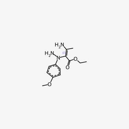 CCOC(=O)/C(=C(\C)N)N(N)c1ccc(OC)cc1